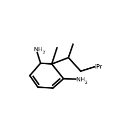 CC(C)CC(C)C1(C)C(N)=CC=CC1N